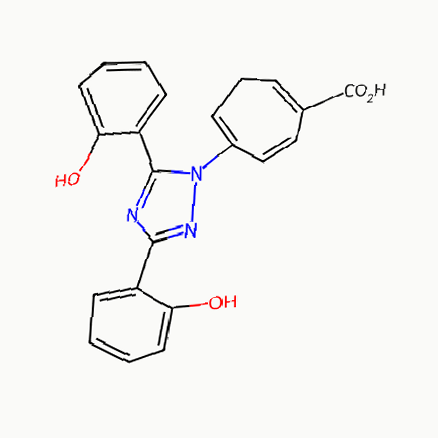 O=C(O)C1=CCC=C(n2nc(-c3ccccc3O)nc2-c2ccccc2O)C=C1